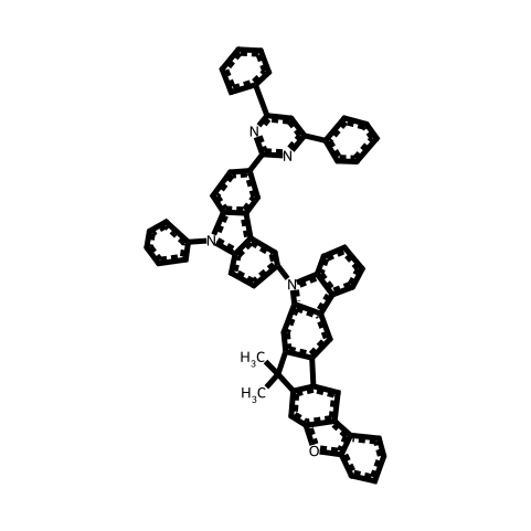 CC1(C)c2cc3oc4ccccc4c3cc2-c2cc3c4ccccc4n(-c4ccc5c(c4)c4cc(-c6nc(-c7ccccc7)cc(-c7ccccc7)n6)ccc4n5-c4ccccc4)c3cc21